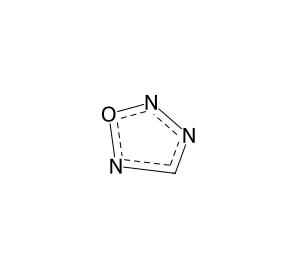 c1nnon1